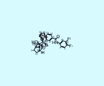 O=C(Nc1ccc(F)c(F)c1)c1ccc(Cl)c(S(=O)(=O)[C@H]2C[C@H]3CC[C@@H](C2)[C@@]3(O)C(O)Cn2cccn2)c1